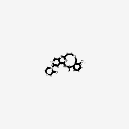 C[C@H]1Nc2nc(nc3cnc(N4CCOCC4=O)cc23)CCOCc2c1cccc2C(F)(F)F